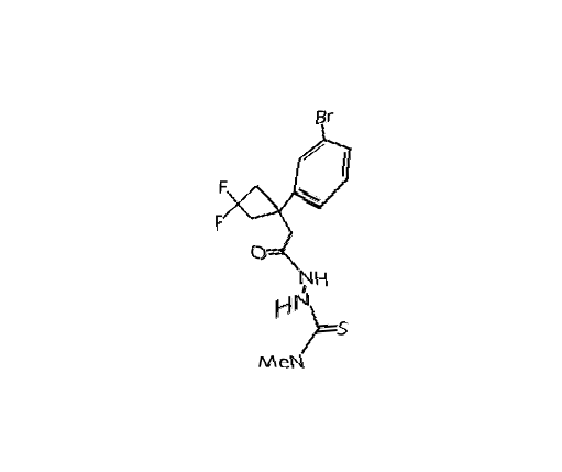 CNC(=S)NNC(=O)CC1(c2cccc(Br)c2)CC(F)(F)C1